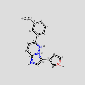 O=C(O)c1cccc(-c2ccc3ncc(-c4ccoc4)n3n2)c1